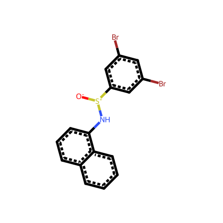 [O-][S+](Nc1cccc2ccccc12)c1cc(Br)cc(Br)c1